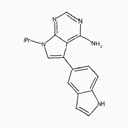 CC(C)n1cc(-c2ccc3[nH]ccc3c2)c2c(N)ncnc21